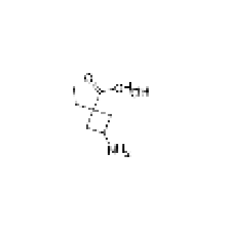 CCC1(C(=O)O)CC(N)C1.Cl